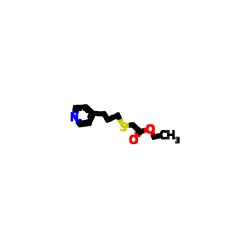 CCOC(=O)CSCCCc1ccncc1